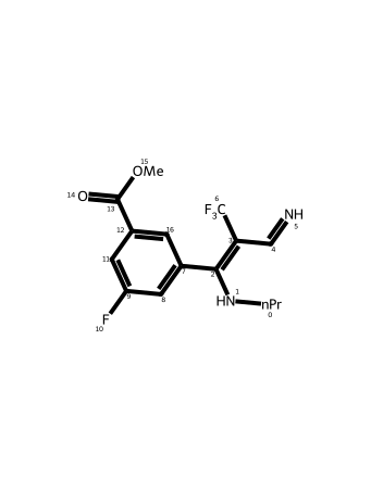 CCCN/C(=C(\C=N)C(F)(F)F)c1cc(F)cc(C(=O)OC)c1